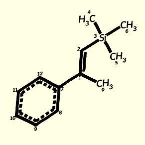 CC(=C[Si](C)(C)C)c1ccccc1